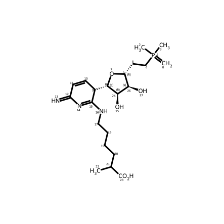 C=P(C)(C)CC[C@H]1O[C@@H](C2C=CC(=N)N=C2NCCCCC(C)C(=O)O)[C@H](O)[C@@H]1O